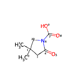 CC1(C)CC(=O)N(C(=O)O)C1